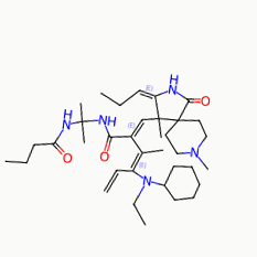 C=C/C(=C(C)\C(=C/C1(C)/C(=C\CC)NC(=O)C12CCN(C)CC2)C(=O)NC(C)(C)NC(=O)CCC)N(CC)C1CCCCC1